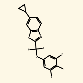 Fc1cc(OC(F)(F)c2nc3ccc(C4CC4)cc3s2)cc(F)c1F